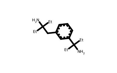 CCC(N)(CC)Cc1cccc(C(N)(CC)CC)c1